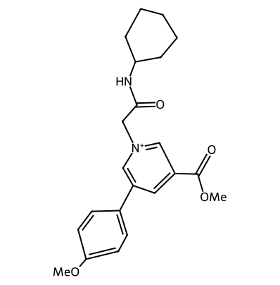 COC(=O)c1cc(-c2ccc(OC)cc2)c[n+](CC(=O)NC2CCCCC2)c1